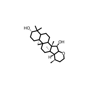 C[C@@H]1CCOC2[C@H]1[C@@]1(C)CCC34C[C@@]35CC[C@H](O)C(C)(C)C5CCC4[C@]1(C)[C@H]2O